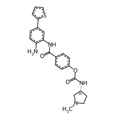 CN1CC[C@@H](NC(=O)Oc2ccc(C(=O)Nc3cc(-c4cccs4)ccc3N)cc2)C1